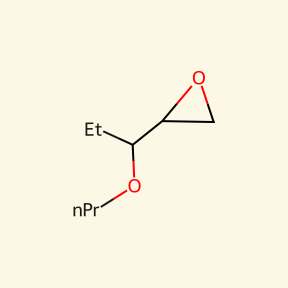 CCCOC(CC)C1CO1